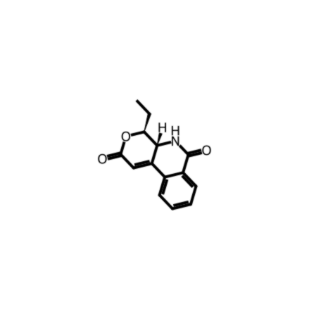 CC[C@@H]1OC(=O)C=C2c3ccccc3C(=O)N[C@H]21